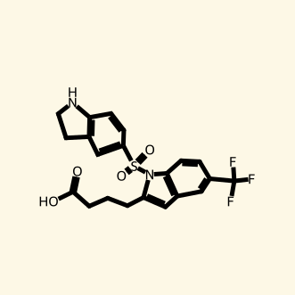 O=C(O)CCCc1cc2cc(C(F)(F)F)ccc2n1S(=O)(=O)c1ccc2c(c1)CCN2